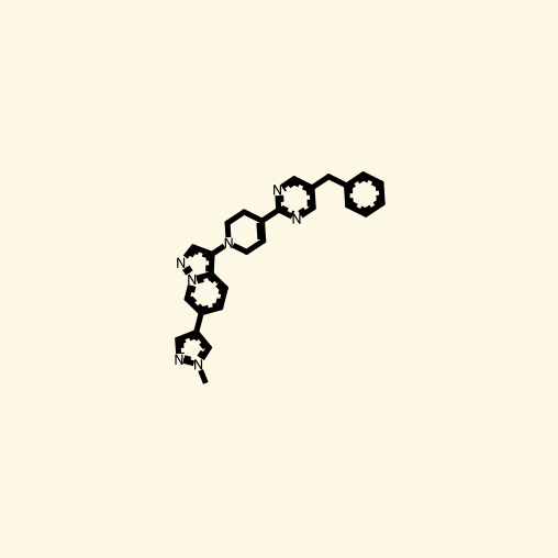 Cn1cc(-c2ccc3c(N4CC=C(c5ncc(Cc6ccccc6)cn5)CC4)cnn3c2)cn1